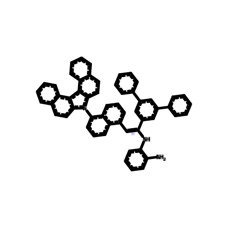 Nc1ccccc1N/C(=C/c1cccc2c(-n3c4ccc5ccccc5c4c4c5ccccc5ccc43)cccc12)c1cc(-c2ccccc2)cc(-c2ccccc2)c1